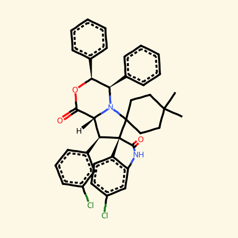 CC1(C)CCC2(CC1)N1[C@H](c3ccccc3)[C@H](c3ccccc3)OC(=O)[C@H]1[C@H](c1cccc(Cl)c1)[C@@]21C(=O)Nc2cc(Cl)ccc21